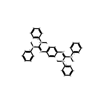 CN(C(=Nc1ccc(N=C(N(C)c2ccccc2)N(C)c2ccccc2)cc1)N(C)c1ccccc1)c1ccccc1